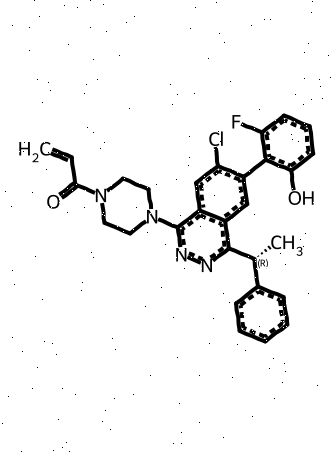 C=CC(=O)N1CCN(c2nnc([C@H](C)c3ccccc3)c3cc(-c4c(O)cccc4F)c(Cl)cc23)CC1